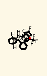 O=C(c1ccccc1-c1ncc(F)cn1)N1[C@@H]2CC[C@H]1[C@H](Nc1ncc(C(F)(F)F)cc1Cl)C2